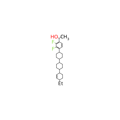 CCC1C=CC(C2CCC(C3CCC(c4ccc(C(C)O)c(F)c4F)CC3)CC2)CC1